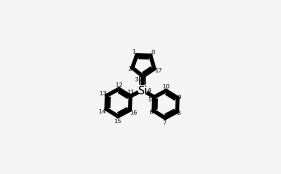 C1=CCC([SiH](c2ccccc2)c2ccccc2)=C1